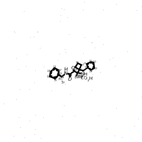 CCCCC(NC(=O)O)(C(=O)C(=O)N[C@H](C)c1ccccc1)C1(Cc2ccccc2)CCC1